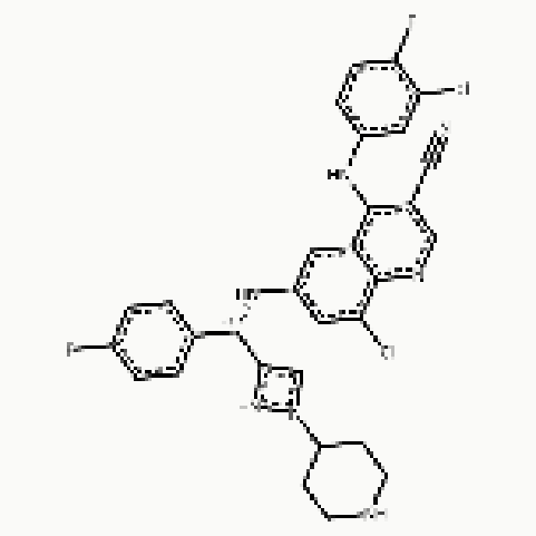 N#Cc1cnc2c(Cl)cc(N[C@@H](c3ccc(F)cc3)c3cn(C4CCNCC4)[nH]3)cc2c1Nc1ccc(F)c(Cl)c1